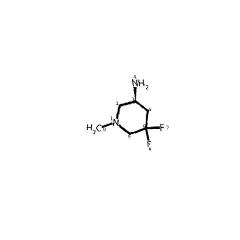 CN1C[C@@H](N)CC(F)(F)C1